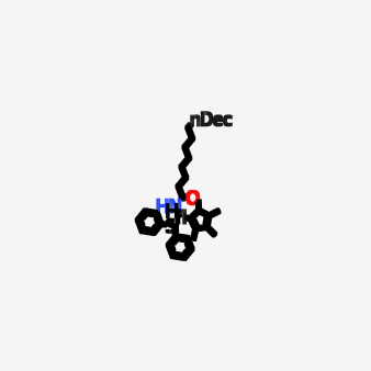 CCCCCCCCCCCCCCCCCC(=O)[NH][Ti]([C]1=C(C)C(C)=C(C)C1C)[SiH](c1ccccc1)c1ccccc1